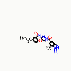 CCc1cc(C(=O)N2CCC3(CC2)NC(=O)c2cc(C(=O)O)ccc2O3)cc2cn[nH]c12